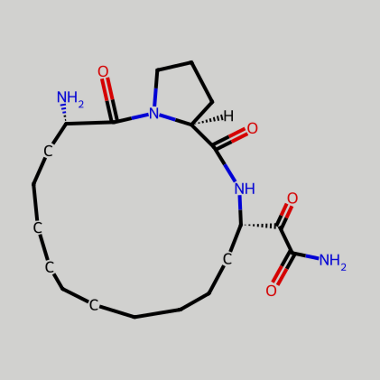 NC(=O)C(=O)[C@@H]1CCCCCCCCCC[C@H](N)C(=O)N2CCC[C@H]2C(=O)N1